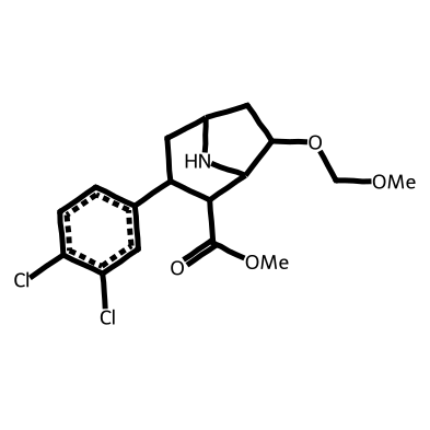 COCOC1CC2CC(c3ccc(Cl)c(Cl)c3)C(C(=O)OC)C1N2